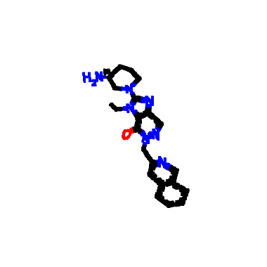 CCn1c(N2CCC[C@@H](N)C2)nc2cnn(Cc3cc4ccccc4cn3)c(=O)c21